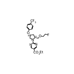 CCOC(=O)c1cnc(N2C[C@H](Oc3ccc(C(F)(F)F)cc3)C[C@H]2COCCF)nc1